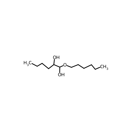 CCCCCCOC(O)C(O)CCCC